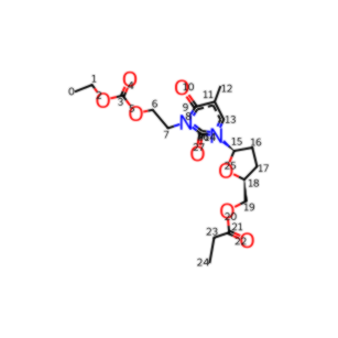 CCOC(=O)OCCn1c(=O)c(C)cn([C@H]2CC[C@@H](COC(=O)CC)O2)c1=O